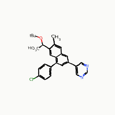 Cc1cc2cc(-c3cncnc3)cc(-c3ccc(Cl)cc3)c2cc1[C@H](OC(C)(C)C)C(=O)O